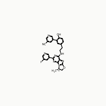 C[C@@H]1COc2nc3c(NCCc4ccc(O)c(-c5cncc(C#N)c5)c4)nc(-c4cncc(F)c4)nc3n21